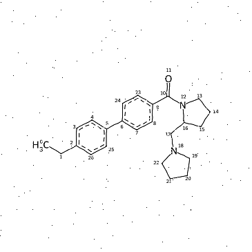 CCc1ccc(-c2ccc(C(=O)N3CCCC3CN3CCCC3)cc2)cc1